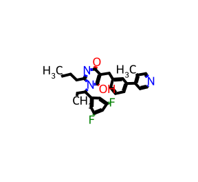 CCCCc1nc(=O)c(Cc2cccc(-c3ccncc3C)c2)c(O)n1C(CC)c1cc(F)cc(F)c1